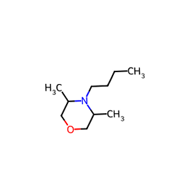 CCCCN1C(C)COCC1C